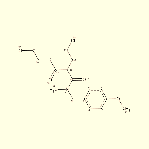 COc1ccc(CN(C)C(=O)C(CCCl)C(=O)CCCCl)cc1